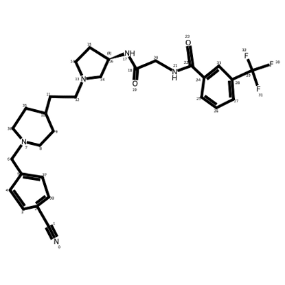 N#Cc1ccc(CN2CCC(CCN3CC[C@@H](NC(=O)CNC(=O)c4cccc(C(F)(F)F)c4)C3)CC2)cc1